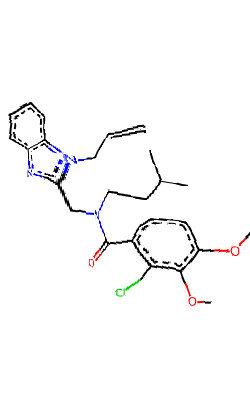 C=CCn1c(CN(CCC(C)C)C(=O)c2ccc(OC)c(OC)c2Cl)nc2ccccc21